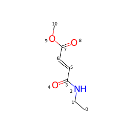 CCNC(=O)C=CC(=O)OC